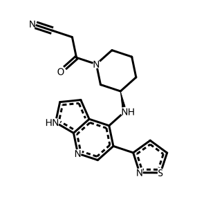 N#CCC(=O)N1CCC[C@@H](Nc2c(-c3ccsn3)cnc3[nH]ccc23)C1